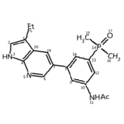 CCc1c[nH]c2ncc(-c3cc(NC(C)=O)cc(P(C)(C)=O)c3)cc12